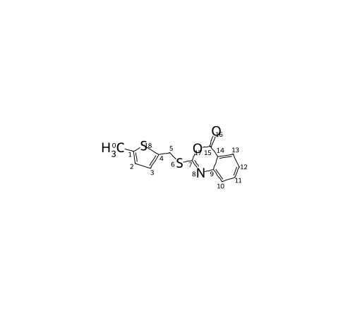 Cc1ccc(CSc2nc3ccccc3c(=O)o2)s1